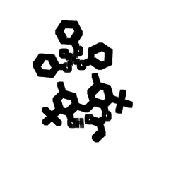 C=CC(=O)Oc1c(Cc2cc(C)cc(C(C)(C)C)c2O)cc(C)cc1C(C)(C)C.O=P(Oc1ccccc1)(Oc1ccccc1)Oc1ccccc1